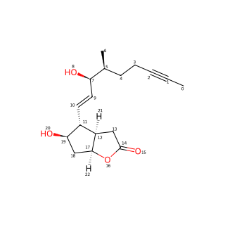 CC#CCC[C@H](C)[C@H](O)C=C[C@@H]1[C@H]2CC(=O)O[C@H]2C[C@H]1O